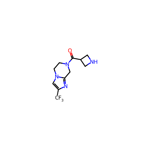 O=C(C1CNC1)N1CCn2cc(C(F)(F)F)nc2C1